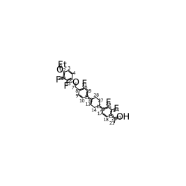 CCOc1ccc(OCc2ccc(C3=CCC(c4ccc(C(C)O)c(F)c4F)CC3)cc2F)c(F)c1F